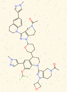 CC(=O)N1CCc2c(c(N3CCC(C4CCC(n5nc(N6CCCc7cc(-c8cnn(C)c8)ccc76)c6c5CCN(C(C)=O)C6)OC4)c4cc(-c5cnn(C)c5)c(OC(F)F)cc43)nn2C2COC2)C1